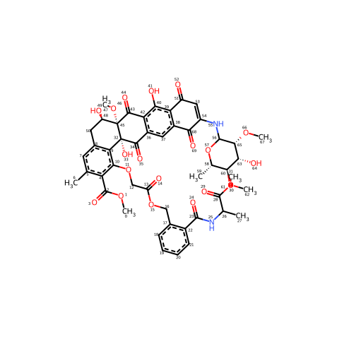 COC(=O)c1c(C)cc2c(c1OCC(=O)OCc1ccccc1C(=O)NC(C)C(=O)OC)[C@]1(O)C(=O)c3cc4c(c(O)c3C(=O)[C@]1(OC)[C@H](O)C2)C(=O)C=C(NC1O[C@@H](C)[C@H](OC)[C@@H](O)[C@H]1OC)C4=O